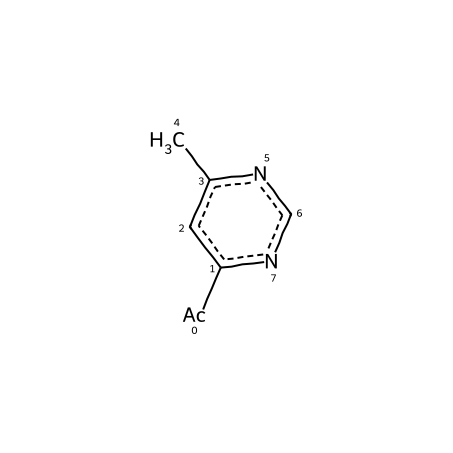 CC(=O)c1cc(C)ncn1